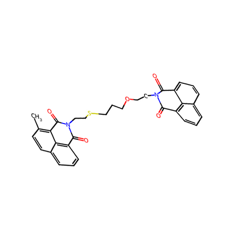 Cc1ccc2cccc3c2c1C(=O)N(CCSCCCOCCN1C(=O)c2cccc4cccc(c24)C1=O)C3=O